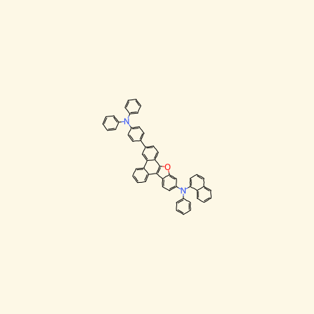 c1ccc(N(c2ccccc2)c2ccc(-c3ccc4c(c3)c3ccccc3c3c5ccc(N(c6ccccc6)c6cccc7ccccc67)cc5oc43)cc2)cc1